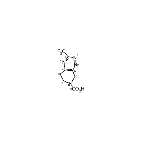 O=C(O)N1CCc2nc(C(F)(F)F)nnc2C1